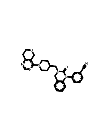 N#Cc1cccc(N2C(=O)N(CC3CCN(c4ncnc5c4COCC5)CC3)Cc3ccccc32)c1